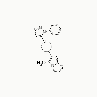 Cc1c(C2CCN(c3nnnn3-c3ccccc3)CC2)nc2sccn12